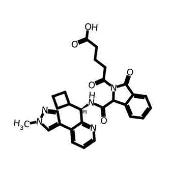 Cn1cc(-c2cccnc2[C@H](NC(=O)C2c3ccccc3C(=O)N2C(=O)CCCC(=O)O)C2CCC2)cn1